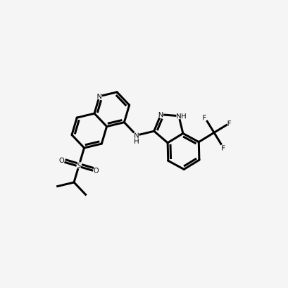 CC(C)S(=O)(=O)c1ccc2nccc(Nc3n[nH]c4c(C(F)(F)F)cccc34)c2c1